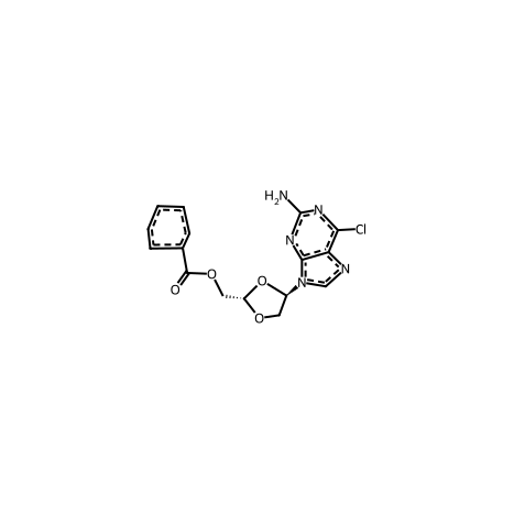 Nc1nc(Cl)c2ncn([C@H]3CO[C@H](COC(=O)c4ccccc4)O3)c2n1